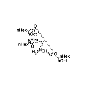 CCCCCCCCC(CCCCCC)COC(=O)CCCCCC(CCCCCC(=O)OCC(CCCCCC)CCCCCCCC)N(CCCC(=O)N(CCCCCC)CCCCCC)CCN(C)C